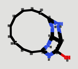 Oc1nc2nc3nc([nH]c13)CCCCCCCCC2